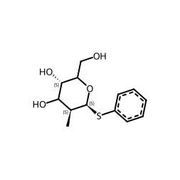 C[C@H]1C(O)[C@H](O)C(CO)O[C@H]1Sc1ccccc1